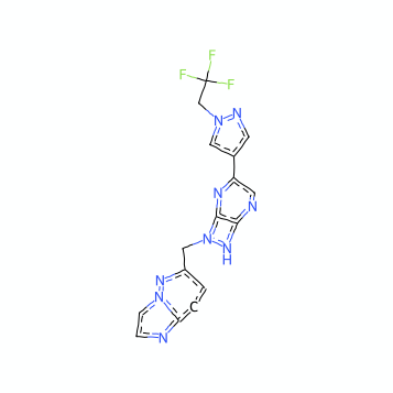 FC(F)(F)Cn1cc(-c2cnc3[nH]n(Cc4ccc5nccn5n4)c3n2)cn1